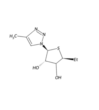 CC[C@@H]1S[C@H](n2cc(C)nn2)[C@@H](O)C1O